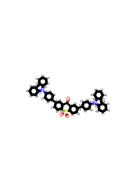 O=C1c2cc(-c3ccc(-n4c5ccccc5c5ccccc54)cc3)ccc2S(=O)(=O)c2ccc(-c3ccc(-n4c5ccccc5c5ccccc54)cc3)cc21